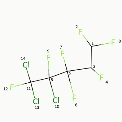 FC(F)C(F)C(F)(F)C(F)(Cl)C(F)(Cl)Cl